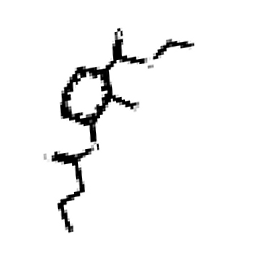 CCCC(=O)Oc1cccc(C(=O)OCC)c1F